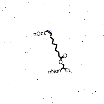 CCCCCCCC/C=C\CCCCCCCC(=O)OCC(CC)CCCCCCCCC